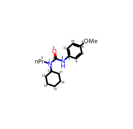 CCCN(C(=O)Nc1ccc(OC)cc1)C1CCCCC1